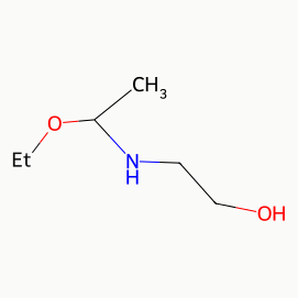 CCOC(C)NCCO